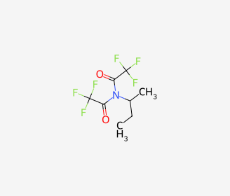 CCC(C)N(C(=O)C(F)(F)F)C(=O)C(F)(F)F